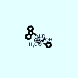 CS(=O)(=O)N(C(=O)OCC1c2ccccc2-c2ccccc21)[C@@H](Cc1ccccc1)C(=O)O